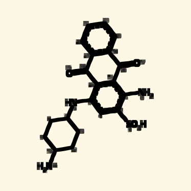 Nc1c(S(=O)(=O)O)cc(NC2CCC(N)CC2)c2c1C(=O)c1ccccc1C2=O